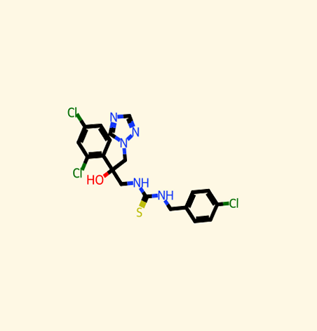 OC(CNC(=S)NCc1ccc(Cl)cc1)(Cn1cncn1)c1ccc(Cl)cc1Cl